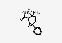 NC1(N)C=CC2(c3ccccc3)SC2C1C(=O)O